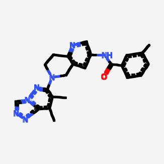 Cc1cccc(C(=O)Nc2cnc3c(c2)CN(c2nn4cnnc4c(C)c2C)CC3)c1